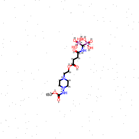 CC(C)(C)OC(=O)NN1CCN(CCOC(=O)CCC(=O)NC(P(=O)(O)O)P(=O)(O)O)CC1